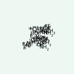 CC(OC(N)=O)(C(=O)NN(Cc1c(F)cc(-c2ccn(C(F)F)n2)cc1F)C[C@H](O)[C@H](Cc1ccc(I)cc1)NC(=O)C(N)C(C)(C)C(F)(F)F)C(C)(C)C(F)(F)F